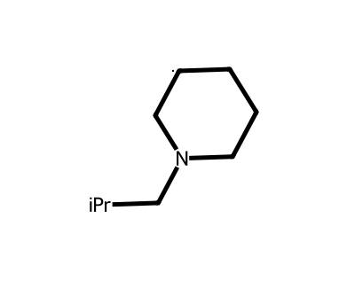 CC(C)CN1C[CH]CCC1